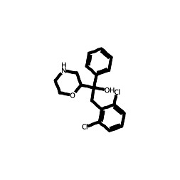 OC(Cc1c(Cl)cccc1Cl)(c1ccccc1)C1CNCCO1